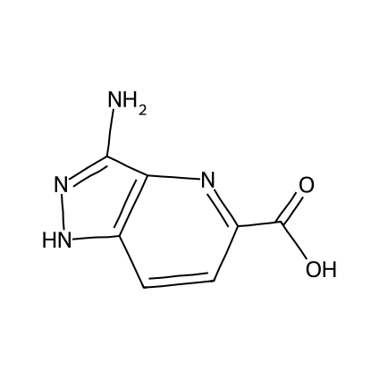 Nc1n[nH]c2ccc(C(=O)O)nc12